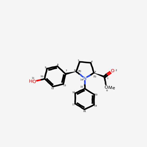 COC(=O)[C@@H]1CC[C@H](c2ccc(O)cc2)N1c1ccccc1